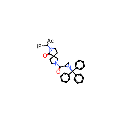 CC(=O)[C@H](C(C)C)N1CC[C@@]2(CCN(C(=O)[C@H]3CN3C(c3ccccc3)(c3ccccc3)c3ccccc3)C2)C1=O